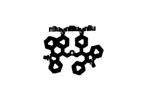 CCCCN(CCCC)c1ccc(C(COCC(c2ccc(N(CCCC)CCCC)cc2)c2c(-c3ccccc3)n(C)c3ccccc23)c2c(-c3ccccc3)n(C)c3ccccc23)cc1